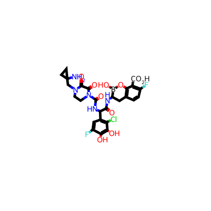 NC1(CN2CCN(C(=O)NC(C(=O)NC3Cc4ccc(F)c(C(=O)O)c4OB3O)c3cc(F)c(O)c(O)c3Cl)C(=O)C2=O)CC1